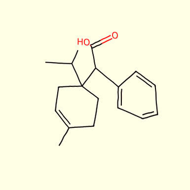 CC1=CCC(C(C)C)(C(C(=O)O)c2ccccc2)CC1